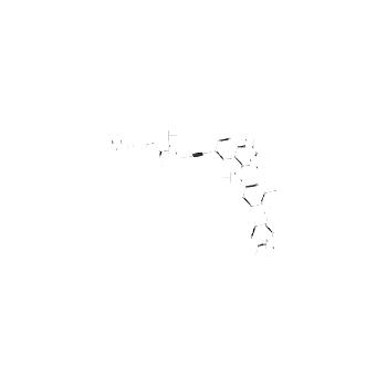 COCC(=O)NCC#Cc1ccc2ncnc(Nc3ccc(Oc4ccc(C)nc4)c(C)c3)c2c1